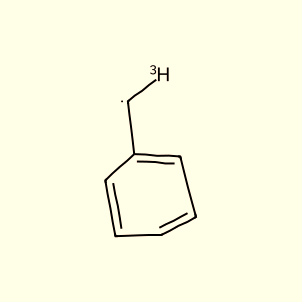 [3H][CH]c1ccccc1